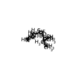 Cc1cc(F)c(C(=O)Nc2cc(N(C)CCN(C)C)cc(C(C)(C)C#N)c2)cc1C#Cc1cnc2c(Nc3cn[nH]c3)cccn12